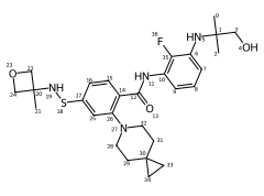 CC(C)(CO)Nc1cccc(NC(=O)c2ccc(SNC3(C)COC3)cc2N2CCC3(CC2)CC3)c1F